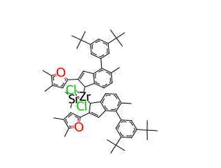 Cc1cc(C2=Cc3c(ccc(C)c3-c3cc(C(C)(C)C)cc(C(C)(C)C)c3)[CH]2[Zr]([Cl])([Cl])([CH]2C(c3cc(C)c(C)o3)=Cc3c2ccc(C)c3-c2cc(C(C)(C)C)cc(C(C)(C)C)c2)=[Si](C)C)oc1C